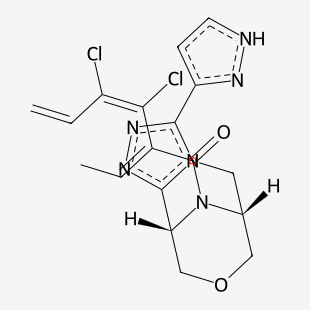 C=C/C(Cl)=C(Cl)\C(=C/C)C(=O)N1[C@H]2COC[C@@H]1c1nnc(-c3cc[nH]n3)n1C2